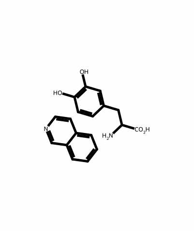 NC(Cc1ccc(O)c(O)c1)C(=O)O.c1ccc2cnccc2c1